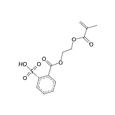 C=C(C)C(=O)OCCOC(=O)c1ccccc1S(=O)(=O)O